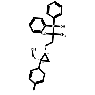 CC(C)(CC[C@@H]1C[C@@]1(CO)C1C=CC(F)=CC1)[Si](O)(c1ccccc1)c1ccccc1